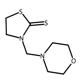 S=C1SCCN1CN1CCOCC1